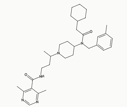 Cc1cccc(CN(C(=O)CC2CCCCC2)C2CCN(C(C)CCNC(=O)c3c(C)ncnc3C)CC2)c1